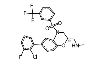 CNC[C@H]1CN(S(=O)(=O)c2cccc(C(F)(F)F)c2)c2cc(-c3cccc(F)c3Cl)ccc2O1